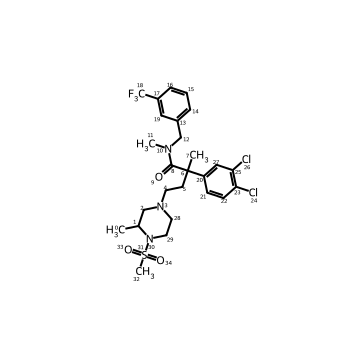 CC1CN(CCC(C)(C(=O)N(C)Cc2cccc(C(F)(F)F)c2)c2ccc(Cl)c(Cl)c2)CCN1S(C)(=O)=O